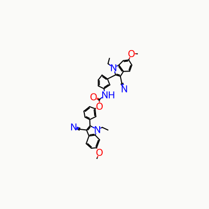 CCn1c(-c2cccc(NC(=O)Oc3cccc(-c4c(C#N)c5ccc(OC)cc5n4CC)c3)c2)c(C#N)c2ccc(OC)cc21